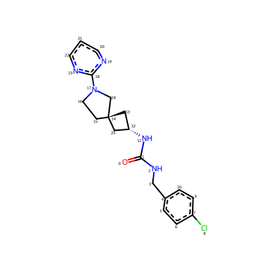 O=C(NCc1ccc(Cl)cc1)N[C@H]1C[C@]2(CCN(c3ncccn3)C2)C1